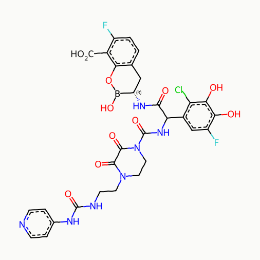 O=C(NCCN1CCN(C(=O)NC(C(=O)N[C@H]2Cc3ccc(F)c(C(=O)O)c3OB2O)c2cc(F)c(O)c(O)c2Cl)C(=O)C1=O)Nc1ccncc1